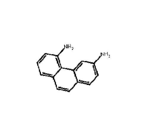 Nc1ccc2ccc3cccc(N)c3c2c1